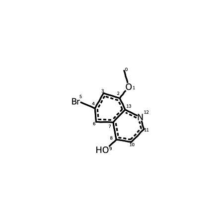 COc1cc(Br)cc2c(O)ccnc12